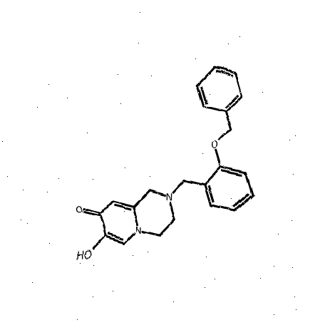 O=c1cc2n(cc1O)CCN(Cc1ccccc1OCc1ccccc1)C2